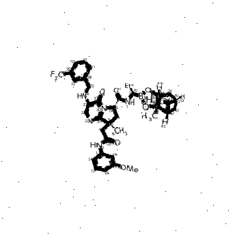 CC[C@H](NC(=O)[C@@H]1C[C@@](C)(CC(=O)Nc2cccc(OC)c2)c2ncc(NCc3cccc(C(F)(F)F)c3)c(=O)n21)B1O[C@@H]2C[C@@H]3C[C@@H](C3(C)C)[C@]2(C)O1